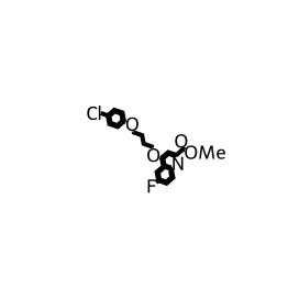 COC(=O)c1cc(OCCCCOc2ccc(Cl)cc2)c2cc(F)ccc2n1